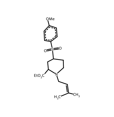 CCOC(=O)C1CC(S(=O)(=O)c2ccc(OC)cc2)CCN1CC=C(C)C